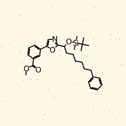 COC(=O)c1cccc(-c2cnc(C(CCCCCCc3ccccc3)O[Si](C)(C)C(C)(C)C)o2)c1